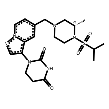 CC(C)S(=O)(=O)N1CCN(Cc2ccn3ncc(N4CCC(=O)NC4=O)c3c2)C[C@@H]1C